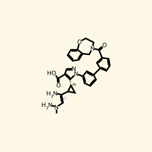 CN(N)/C=C(\N)C1C[C@H]1c1c(C(=O)O)cnn1-c1cccc(-c2cccc(C(=O)N3CCOc4ccccc4C3)c2)c1